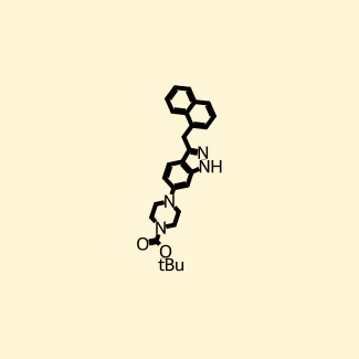 CC(C)(C)OC(=O)N1CCN(c2ccc3c(Cc4cccc5ccccc45)n[nH]c3c2)CC1